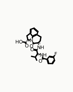 CC(C)[C@H](NC(=O)c1cccc(F)c1)C(=O)N[C@H]1CCc2cccc3c2N(C1=O)[C@H](C(=O)O)C3